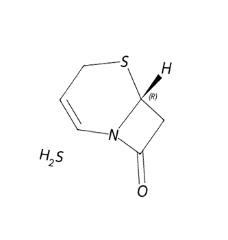 O=C1C[C@H]2SCC=CN12.S